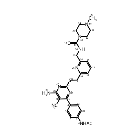 CC(=O)Nc1ccc(-c2nc(SCc3cccc(CNC(=O)N4CCN(C)CC4)n3)nc(N)c2C#N)cc1